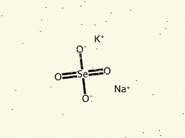 O=[Se](=O)([O-])[O-].[K+].[Na+]